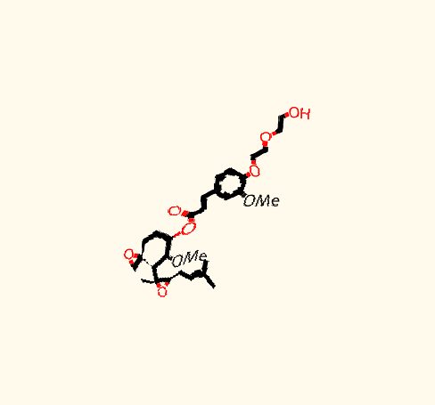 COc1cc(/C=C/C(=O)O[C@@H]2CC[C@]3(CO3)[C@@H]([C@@]3(C)O[C@@H]3CC=C(C)C)[C@@H]2OC)ccc1OCCOCCO